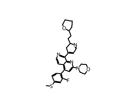 CSc1ccc(-c2cc(N3CCOCC3)nc3c(C4=CC=NC(CCC5CCCCO5)C4)nccc23)c(F)c1